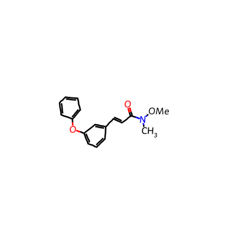 CON(C)C(=O)C=Cc1cccc(Oc2ccccc2)c1